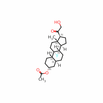 CC(=O)O[C@@H]1CC[C@H]2[C@@H](CC[C@H]3[C@@H]4CC[C@H](C(=O)CO)[C@@]4(C)CC[C@]23F)C1